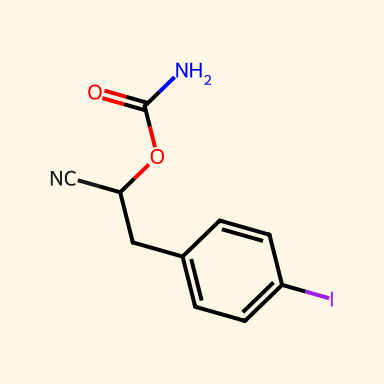 N#CC(Cc1ccc(I)cc1)OC(N)=O